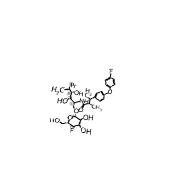 CC(C)C(C)[C@@H](O)[C@@H](O)[C@H](CO[C@H]1OC(CO)[C@@H](F)C(O)C1O)NC(=O)C(C)C(C)c1ccc(Oc2ccc(F)cc2)cc1